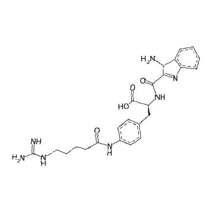 N=C(N)NCCCCC(=O)Nc1ccc(C[C@H](NC(=O)C2=Nc3ccccc3C2N)C(=O)O)cc1